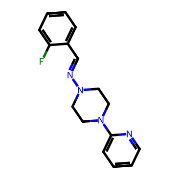 Fc1ccccc1/C=N/N1CCN(c2ccccn2)CC1